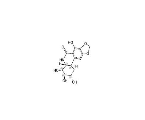 O=C1N[C@H]2[C@H](O)[C@H](O)[C@@H](O)C[C@@H]2c2cc3c(c(O)c21)OCO3